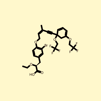 CCO[C@@H](Cc1ccc(OC/C=C(/C)C#CC2(OCC(F)(F)F)C=CC=C(OCC(F)(F)F)C2)c(Br)c1)C(=O)O